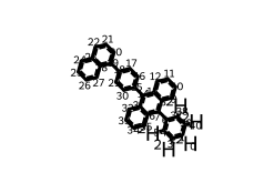 [2H]c1c([2H])c([2H])c(-c2c3ccccc3c(-c3ccc(-c4cccc5ccccc45)cc3)c3ccccc23)c([2H])c1[2H]